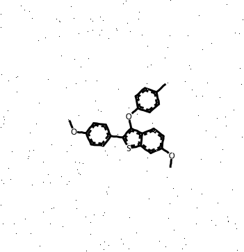 COc1ccc(-c2sc3cc(OC)ccc3c2Oc2ccc(C)cc2)cc1